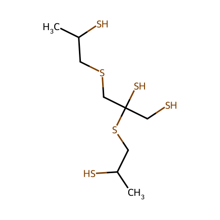 CC(S)CSCC(S)(CS)SCC(C)S